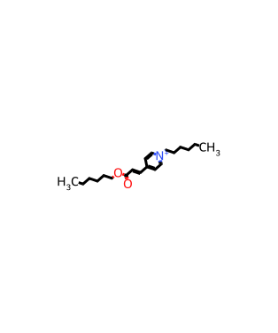 CCCCCCOC(=O)/C=C/c1cc[n+](CCCCCC)cc1